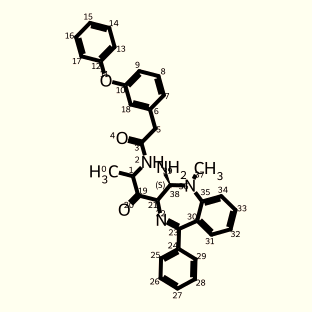 CC(NC(=O)Cc1cccc(Oc2ccccc2)c1)C(=O)C1N=C(c2ccccc2)c2ccccc2N(C)[C@@H]1N